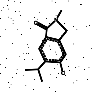 CC(C)c1cc2c(cc1Cl)CN(C)C2=O